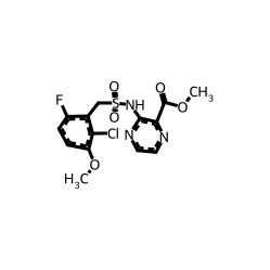 COC(=O)c1nccnc1NS(=O)(=O)Cc1c(F)ccc(OC)c1Cl